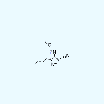 CCCCn1ncc(C#N)c1/N=C/OCC